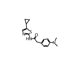 CN(C)c1ccc(CC(=O)Nc2ncc(C3CC3)s2)cc1